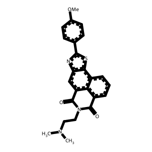 COc1ccc(-c2nc3cc4c5c(cccc5c3s2)C(=O)N(CCN(C)C)C4=O)cc1